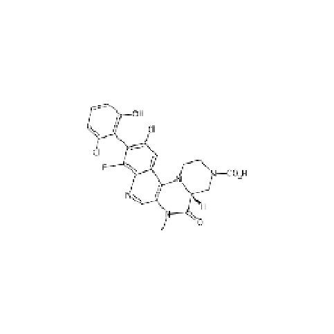 CN1C(=O)[C@H]2CN(C(=O)O)CCN2c2c1cnc1c(F)c(-c3c(O)cccc3Cl)c(Cl)cc21